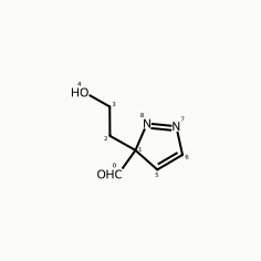 O=CC1(CCO)C=CN=N1